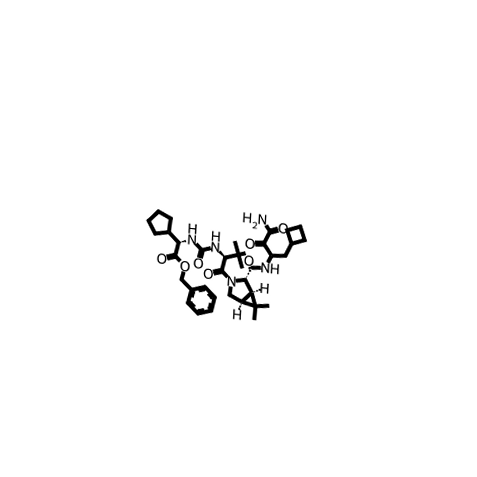 CC(C)(C)[C@H](NC(=O)N[C@H](C(=O)OCc1ccccc1)C1CCCC1)C(=O)N1C[C@H]2[C@@H]([C@H]1C(=O)NC(CC1CCC1)C(=O)C(N)=O)C2(C)C